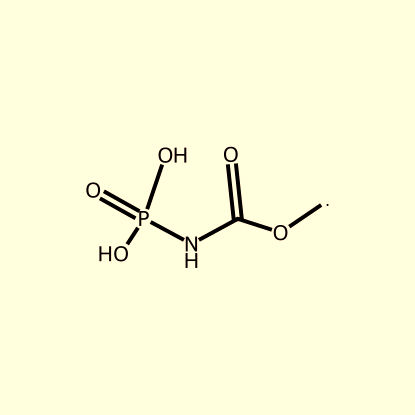 [CH2]OC(=O)NP(=O)(O)O